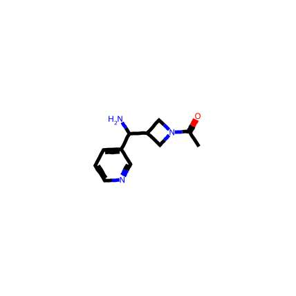 CC(=O)N1CC(C(N)c2cccnc2)C1